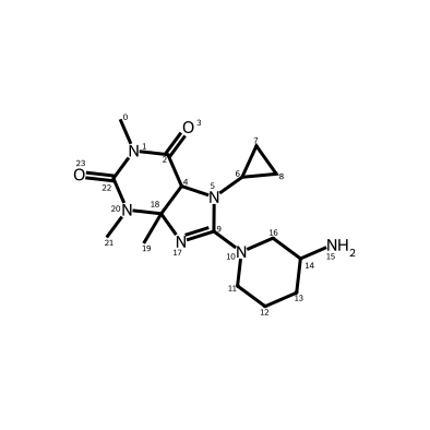 CN1C(=O)C2N(C3CC3)C(N3CCCC(N)C3)=NC2(C)N(C)C1=O